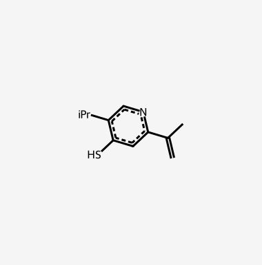 C=C(C)c1cc(S)c(C(C)C)cn1